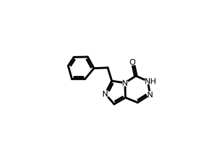 O=c1[nH]ncc2cnc(Cc3ccccc3)n12